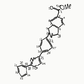 COC(=O)c1ccc2c(c1)CN(c1ccc(-c3csc(-c4ccccc4)n3)cc1)C2